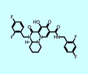 O=C(NCc1ccc(F)cc1F)c1cn2c(c(O)c1=O)C(=O)N(Cc1ccc(F)cc1F)[C@@H]1CCCCN12